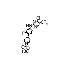 CC(C)(C)OC(=O)N1CCC(c2ccc(Nc3ncc(C(F)(F)F)c(Cl)n3)cc2F)CC1